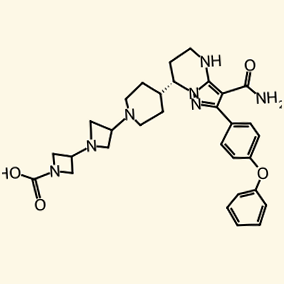 NC(=O)c1c(-c2ccc(Oc3ccccc3)cc2)nn2c1NCC[C@H]2C1CCN(C2CN(C3CN(C(=O)O)C3)C2)CC1